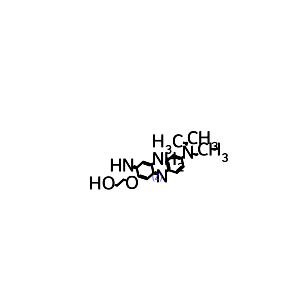 CCN(c1ccc(/N=C2/C=C(OCCO)C(=N)C=C2N)cc1)C(C)C